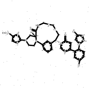 CCOC(=O)c1cnc(N2CCN3c4cccc(c4)[C@@H](n4cnc(-c5cc(Cl)ccc5-n5cc(Cl)nn5)cc4=O)CCCCCNC(=O)[C@H]3C2)o1